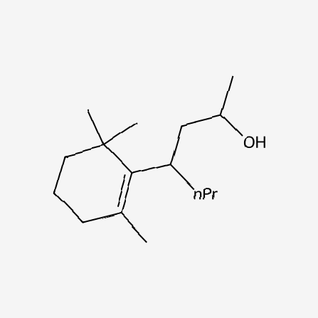 CCCC(CC(C)O)C1=C(C)CCCC1(C)C